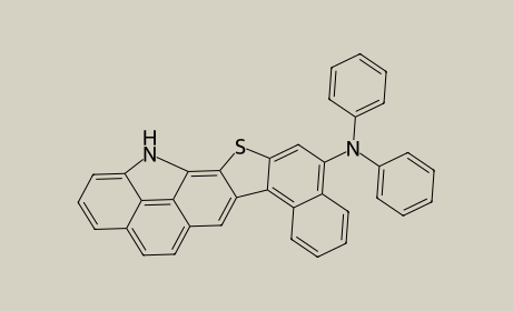 c1ccc(N(c2ccccc2)c2cc3sc4c(cc5ccc6cccc7[nH]c4c5c67)c3c3ccccc23)cc1